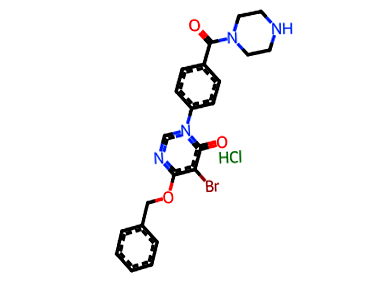 Cl.O=C(c1ccc(-n2cnc(OCc3ccccc3)c(Br)c2=O)cc1)N1CCNCC1